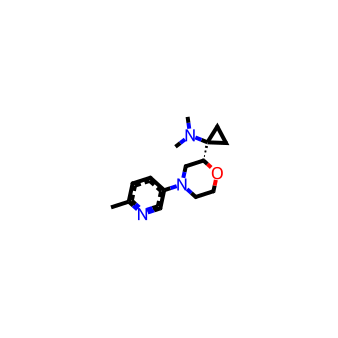 Cc1ccc(N2CCO[C@@H](C3(N(C)C)CC3)C2)cn1